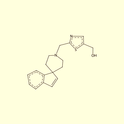 OCc1cnc(CN2CCC3(C=Cc4ccccc43)CC2)s1